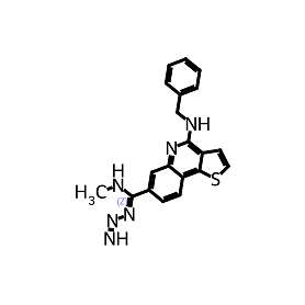 CN/C(=N\N=N)c1ccc2c(c1)nc(NCc1ccccc1)c1ccsc12